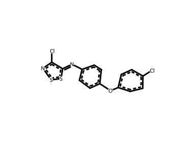 Clc1ccc(Oc2ccc(/N=c3\ssnc3Cl)cc2)cc1